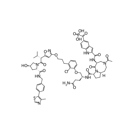 CC(=O)N1CC[C@H]2CC[C@@H](C(=O)N[C@@H](CCC(N)=O)COc3cccc(CCCOc4cc([C@H](C(=O)N5C[C@H](O)C[C@H]5C(=O)NCc5ccc(-c6scnc6C)cc5)C(C)C)on4)c3Cl)N2C(=O)[C@@H](NC(=O)c2cc3cc(C(=O)P(=O)(O)O)ccc3[nH]2)C1